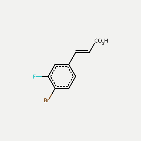 O=C(O)C=Cc1ccc(Br)c(F)c1